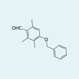 Cc1cc(OCc2ccccc2)c(C)c(C)c1C=O